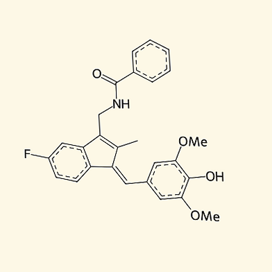 COc1cc(C=C2C(C)=C(CNC(=O)c3ccccc3)c3cc(F)ccc32)cc(OC)c1O